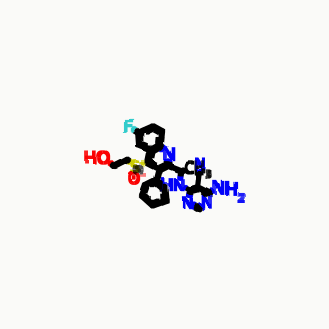 CC(Nc1ncnc(N)c1C#N)c1nc2ccc(F)cc2c([S@+]([O-])CCO)c1-c1ccccc1